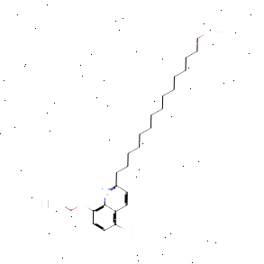 CCOc1ccc(Cl)c2ccc(CCCCCCCCCCCCCCCO)nc12